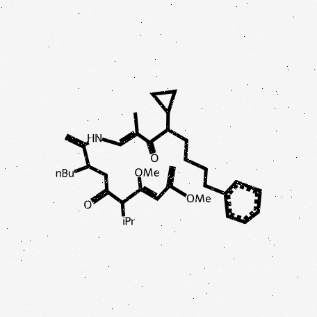 C=C(/C=C(\OC)C(C(=O)CC(CCCC)C(=C)N/C=C(\C)C(=O)C(CCCCc1ccccc1)C1CC1)C(C)C)OC